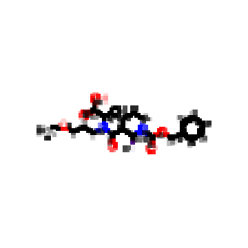 COCCCN(C(=O)C1CCCN(C(=O)OCc2ccccc2)C1I)C(C)C(=O)O